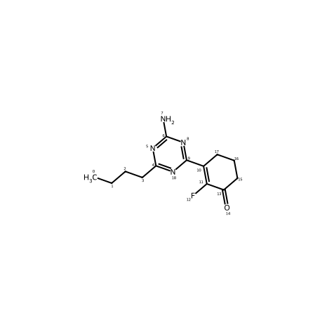 CCCCc1nc(N)nc(C2=C(F)C(=O)CCC2)n1